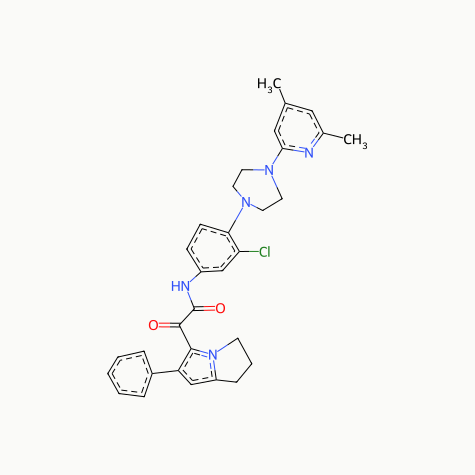 Cc1cc(C)nc(N2CCN(c3ccc(NC(=O)C(=O)c4c(-c5ccccc5)cc5n4CCC5)cc3Cl)CC2)c1